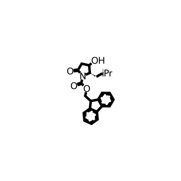 CC(C)C[C@H]1C(O)CC(=O)N1C(=O)OCC1c2ccccc2-c2ccccc21